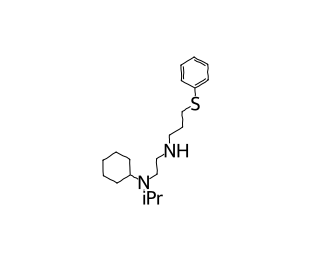 CC(C)N(CCNCCCSc1ccccc1)C1CCCCC1